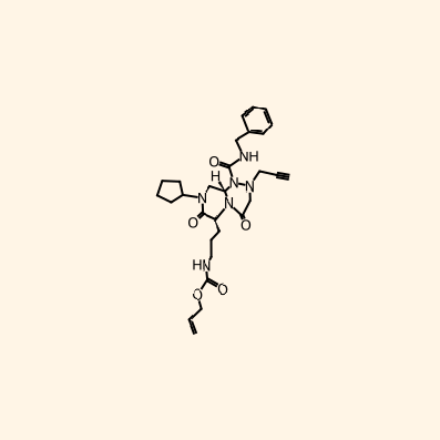 C#CCN1CC(=O)N2[C@@H](CCCNC(=O)OCC=C)C(=O)N(C3CCCC3)C[C@@H]2N1C(=O)NCc1ccccc1